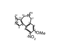 COc1cc2c(cc1[N+](=O)[O-])-c1cnn(C)c1CN(C)C2